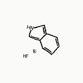 F.[B].c1ccc2c[nH]cc2c1